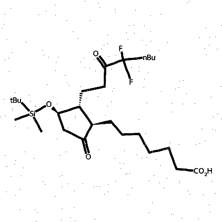 CCCCC(F)(F)C(=O)CC[C@H]1[C@H](O[Si](C)(C)C(C)(C)C)CC(=O)[C@@H]1CCCCCCC(=O)O